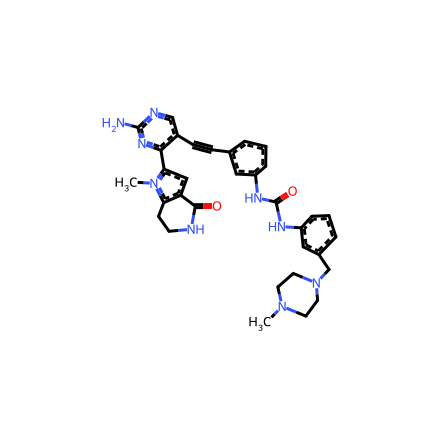 CN1CCN(Cc2cccc(NC(=O)Nc3cccc(C#Cc4cnc(N)nc4-c4cc5c(n4C)CCNC5=O)c3)c2)CC1